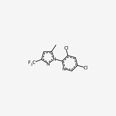 Cc1cc(C(F)(F)F)nn1-c1ncc(Cl)cc1Cl